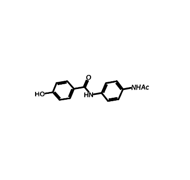 CC(=O)Nc1ccc(NC(=O)c2ccc(O)cc2)cc1